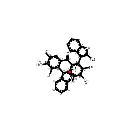 CCc1oc2ccccc2c1-c1c(C(=O)c2cc(I)c(O)c(I)c2-c2c(CC)oc3ccccc23)cc(I)c(O)c1I